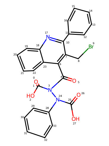 O=C(O)N(C(=O)c1c(CBr)c(-c2ccccc2)nc2ccccc12)N(C(=O)O)c1ccccc1